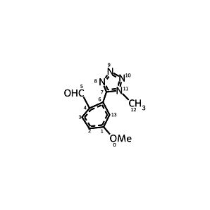 COc1ccc(C=O)c(-c2nnnn2C)c1